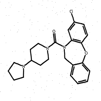 O=C(N1CCC(N2CCCC2)CC1)N1Cc2ccccc2Oc2ccc(Cl)cc21